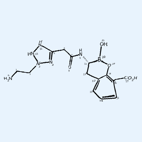 NCCN1N=C(CC(=O)N[C@H]2Cc3cccc(C(=O)O)c3OB2O)NN1